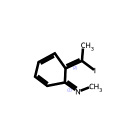 C/N=C1/C=CC=C/C1=C(\C)I